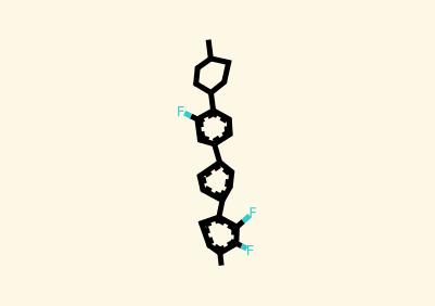 Cc1ccc(-c2ccc(-c3ccc(C4CCC(C)CC4)c(F)c3)cc2)c(F)c1F